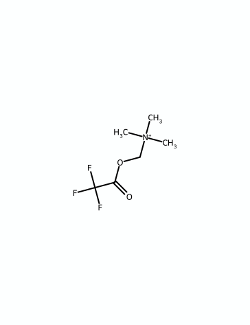 C[N+](C)(C)COC(=O)C(F)(F)F